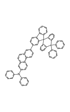 c1ccc(N(c2ccccc2)c2ccc3c(ccc4cc(-c5ccc6c(c5)C5(c7ccccc7-6)c6ccccc6C(c6ccccc6)(c6ccccc6)c6ccccc65)ccc43)c2)cc1